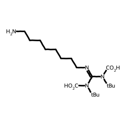 CC(C)(C)N(C(=O)O)C(=NCCCCCCCCN)N(C(=O)O)C(C)(C)C